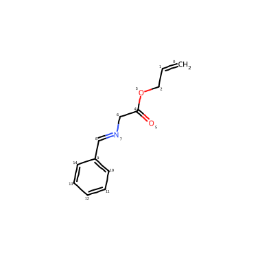 C=CCOC(=O)C/N=C/c1ccccc1